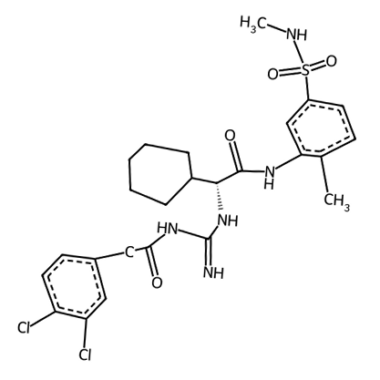 CNS(=O)(=O)c1ccc(C)c(NC(=O)[C@H](NC(=N)NC(=O)Cc2ccc(Cl)c(Cl)c2)C2CCCCC2)c1